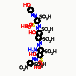 Nc1c(N=Nc2ccc3c(O)c(N=Nc4cc(S(=O)(=O)O)c(N=Nc5ccc(O)cc5)cc4SOOO)c(S(=O)(=O)O)cc3c2S(=O)(=O)O)cc(S(=O)(=O)O)c2cc(SOOO)c(N=Nc3ccc([N+](=O)[O-])cc3S(=O)(=O)O)c(O)c12